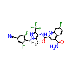 Cc1c(NC(=O)c2cc(C(N)=O)c3ccc(F)cc3n2)c(C(F)(F)F)nn1Cc1c(F)cc(C#N)cc1F